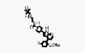 COc1ccc(F)cc1-c1ccnc2[nH]c(C3=CCN(C(=O)NCCNCC4(C)COC4)CC3)cc12